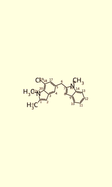 Cc1cc2cc(Cc3cc4ccccc4n3C)cc(Cl)c2n1C